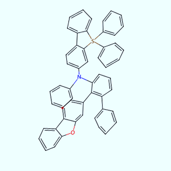 c1ccc(-c2cccc(N(c3ccccc3)c3ccc4c(c3)S(c3ccccc3)(c3ccccc3)c3ccccc3-4)c2-c2ccc3c(c2)oc2ccccc23)cc1